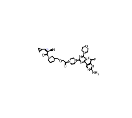 N#C/C(=C/C1CC1)C(=O)N1CCCC(COCC(=O)N2CCN(c3nc(-c4cnc(N)nc4C(F)F)nc(N4CCOCC4)n3)CC2)C1